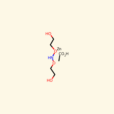 CC(=O)O.OCCONOCCO.[Zn]